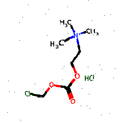 C[N+](C)(C)CCOC(=O)OCCl.Cl